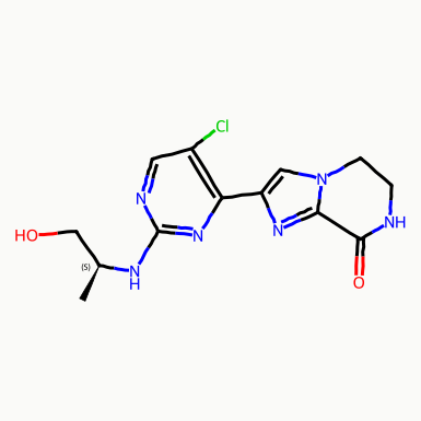 C[C@@H](CO)Nc1ncc(Cl)c(-c2cn3c(n2)C(=O)NCC3)n1